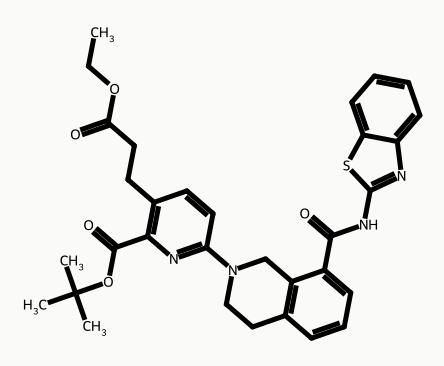 CCOC(=O)CCc1ccc(N2CCc3cccc(C(=O)Nc4nc5ccccc5s4)c3C2)nc1C(=O)OC(C)(C)C